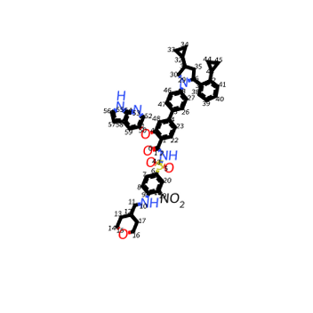 O=C(NS(=O)(=O)c1ccc(NCC2CCOCC2)c([N+](=O)[O-])c1)c1ccc(-c2ccc(N3CC(C4CC4)CC3c3ccccc3C3CC3)cc2)cc1Oc1cnc2[nH]ccc2c1